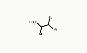 CCCC(CC)C(N)C(=O)O